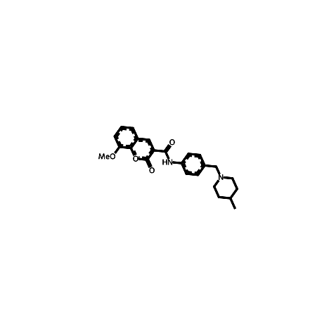 COc1cccc2cc(C(=O)Nc3ccc(CN4CCC(C)CC4)cc3)c(=O)oc12